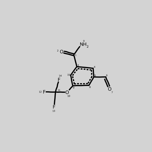 NC(=O)c1cc(C=O)cc(OC(F)(F)F)c1